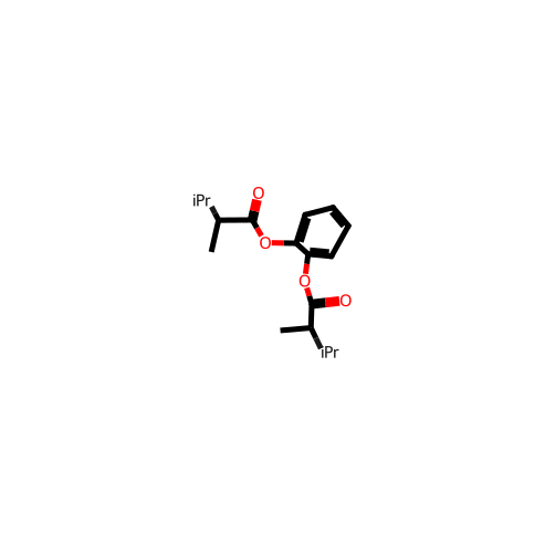 CC(C)C(C)C(=O)Oc1ccccc1OC(=O)C(C)C(C)C